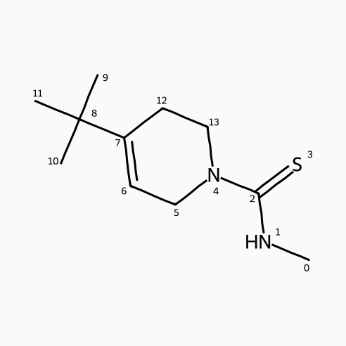 CNC(=S)N1CC=C(C(C)(C)C)CC1